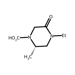 CCN1C[C@H](C)N(C(=O)O)CC1=O